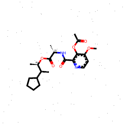 COc1ccnc(C(=O)N[C@@H](C)C(=O)O[C@H](C)C(C)C2CCCC2)c1OC(C)=O